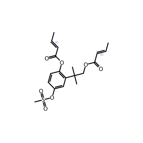 C/C=C/C(=O)OCC(C)(C)c1cc(OS(C)(=O)=O)ccc1OC(=O)/C=C/C